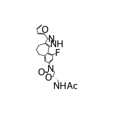 CC(=O)NC[C@H]1CN(c2cc(F)c3c(c2)CCCc2c(-c4ccco4)n[nH]c2-3)C(=O)O1